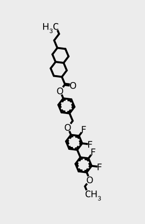 CCCC1CCC2CC(C(=O)Oc3ccc(COc4ccc(-c5ccc(OCC)c(F)c5F)c(F)c4F)cc3)CCC2C1